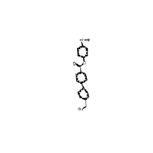 CCCCCc1ccc(OC(=O)c2ccc(-c3ccc(CC(C)CC)cc3)cc2)cc1